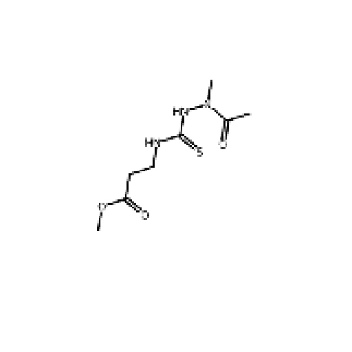 COC(=O)CCNC(=S)NN(C)C(C)=O